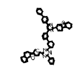 c1ccc(-c2ccc(-c3cc(-c4cccc(-c5cccc(-c6nc(-c7ccccc7)nc(-c7ccc8c(c7)oc7c9ccccc9ccc87)n6)c5)c4)nc(-c4ccc5c(c4)oc4ccccc45)n3)cc2)cc1